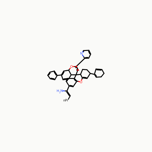 CCC/C=C(\N)c1ccc2c(c1)OC1=CC(C3=CCCC=C3)CCC1C21c2ccc(-c3ccccn3)cc2OC2C=C(c3ccccc3)C=CC21